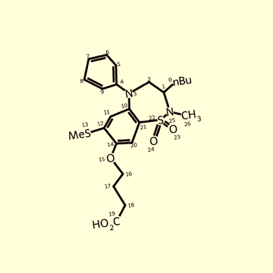 CCCCC1CN(c2ccccc2)c2cc(SC)c(OCCCC(=O)O)cc2S(=O)(=O)N1C